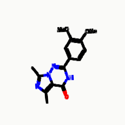 COc1ccc(-c2nn3c(C)nc(C)c3c(=O)[nH]2)cc1OC